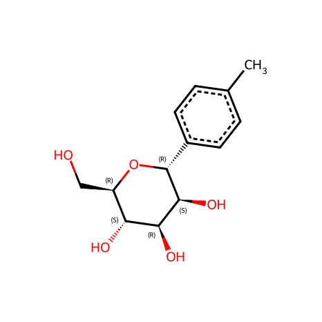 Cc1ccc([C@H]2O[C@H](CO)[C@@H](O)[C@H](O)[C@@H]2O)cc1